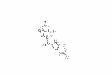 O=C(c1cc2cc(Cl)ccc2[nH]1)N1C[C@H]2CNC[C@H]2C1